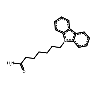 NC(=O)CCCCCCn1c2ccccc2c2ccccc21